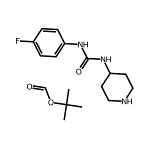 CC(C)(C)OC=O.O=C(Nc1ccc(F)cc1)NC1CCNCC1